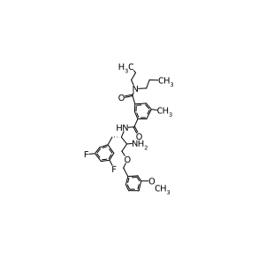 CCCN(CCC)C(=O)c1cc(C)cc(C(=O)N[C@@H](Cc2cc(F)cc(F)c2)C(N)COCc2cccc(OC)c2)c1